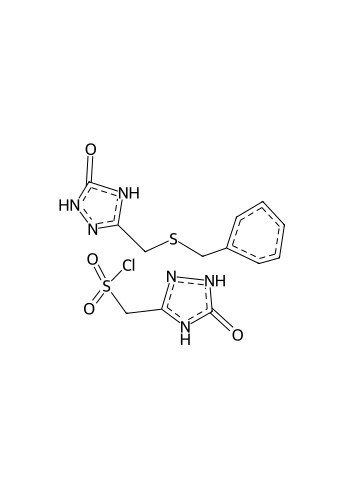 O=c1[nH]nc(CS(=O)(=O)Cl)[nH]1.O=c1[nH]nc(CSCc2ccccc2)[nH]1